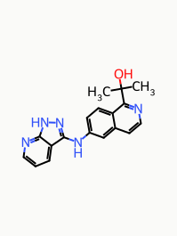 CC(C)(O)c1nccc2cc(Nc3n[nH]c4ncccc34)ccc12